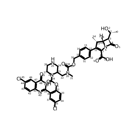 C[C@@H](O)[C@H]1C(=O)N2C(C(=O)O)=C(c3ccc(COC(=O)N(C)CC4CNCCN4C(=O)Oc4ccc(Cl)cc4-c4nc5ccc(Cl)cc5c(=O)[nH]4)cc3)[C@H](C)[C@H]12